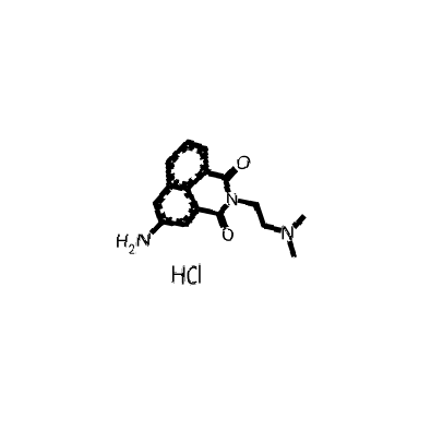 CN(C)CCN1C(=O)c2cccc3cc(N)cc(c23)C1=O.Cl